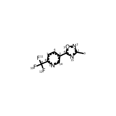 Cc1noc(-c2ccc(C(F)(F)F)nc2)n1